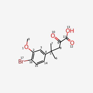 COc1cc(C(C)(C)CC(=O)C(=O)O)ccc1Br